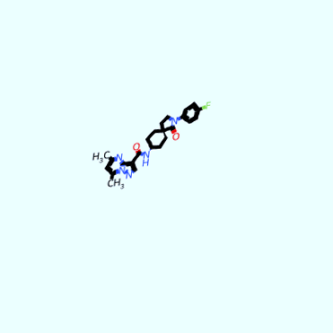 Cc1cc(C)n2ncc(C(=O)N[C@H]3CC[C@]4(CCN(c5ccc(F)cc5)C4=O)CC3)c2n1